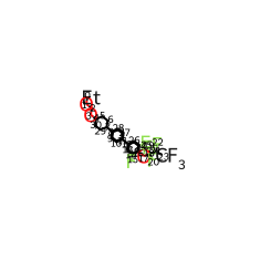 CCOCOC1CCC(c2ccc(-c3cc(F)c(OC(F)(F)C(F)C(F)(F)F)c(F)c3)cc2)CC1